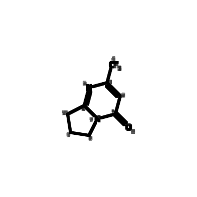 O=c1cc(C(F)(F)F)nc2n1CCC2